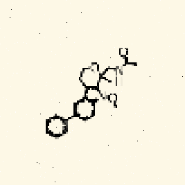 COn1c2c(c3cc(-c4ccccc4)ccc31)CCOC2(C)CNC(C)=O